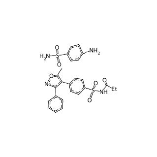 CCC(=O)NS(=O)(=O)c1ccc(-c2c(-c3ccccc3)noc2C)cc1.Nc1ccc(S(N)(=O)=O)cc1